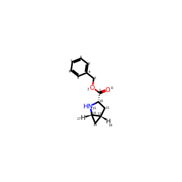 O=C(OCc1ccccc1)[C@@H]1C[C@@H]2C[C@@H]2N1